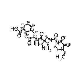 CCN1CCN(C(=O)N2CC(CN)(C(=O)NC3Cc4cccc(C(=O)O)c4OB3O)C2)C(=O)C1=O